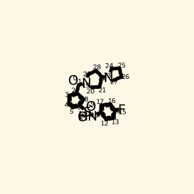 O=C(c1cccc(S(=O)(=O)Nc2ccc(F)cc2)c1)N1CCC(N2CCCC2)CC1